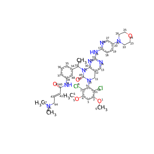 COc1cc(OC)c(Cl)c(N2Cc3cnc(Nc4ccc(N5CCOCC5)cn4)nc3N(C(C)c3cccc(NC(=O)/C=C/CN(C)C)c3)C2=O)c1Cl